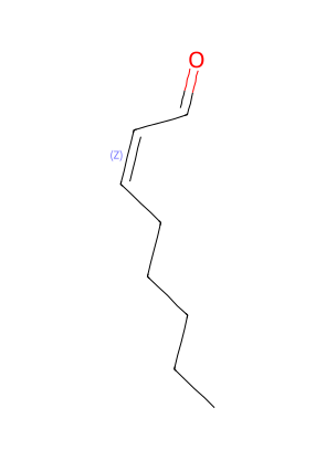 CCCCC/C=C\C=O